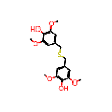 COc1cc(CSCc2cc(OC)c(O)c(OC)c2)cc(OC)c1O